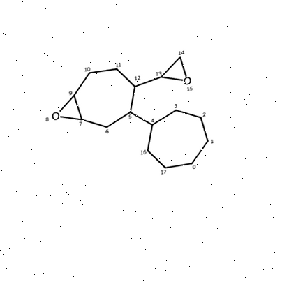 C1CCCC(C2CC3OC3CCC2C2CO2)CC1